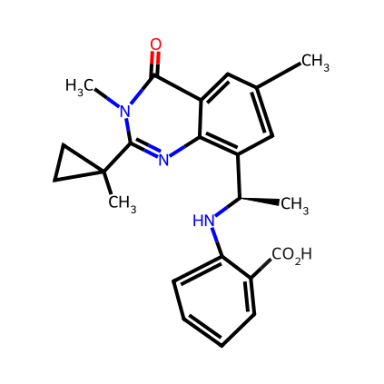 Cc1cc([C@@H](C)Nc2ccccc2C(=O)O)c2nc(C3(C)CC3)n(C)c(=O)c2c1